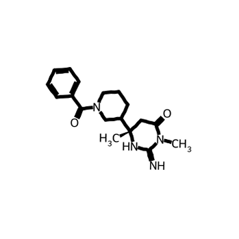 CN1C(=N)N[C@](C)(C2CCCN(C(=O)c3ccccc3)C2)CC1=O